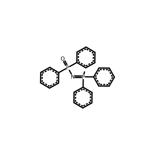 CP(=NP(=O)(c1ccccc1)c1ccccc1)(c1ccccc1)c1ccccc1